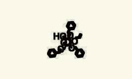 C=CCO[C@H]1[C@@H](OCc2ccccc2)[C@@H](COCc2ccccc2)OC(O)[C@@H]1OCc1ccccc1